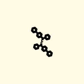 C(=C=C(c1ccccc1)c1ccc(-c2ccccc2)cc1)=C(c1ccccc1)c1ccc(-c2ccccc2)cc1